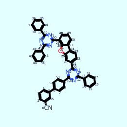 N#Cc1cccc(-c2ccc(-c3nc(-c4ccccc4)nc(-c4ccc5c(c4)oc4c(-c6nc(-c7ccccc7)nc(-c7ccccc7)n6)cccc45)n3)cc2)c1